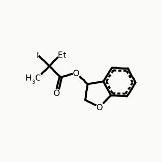 CCC(C)(I)C(=O)OC1COc2ccccc21